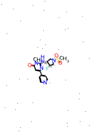 Cn1c(N[C@@H]2CN(S(C)(=O)=O)C[C@@H]2F)nc(-c2ccncc2)cc1=O